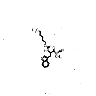 CCCCCCOC(=O)NC(Cc1csc2ccccc12)C(=O)N(C)C#N